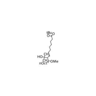 CCCCCCCCC(OC)C(CCCCCCCC(=O)OC(C)(C)C)C(C)(C)O